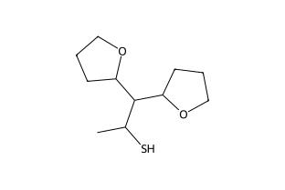 CC(S)C(C1CCCO1)C1CCCO1